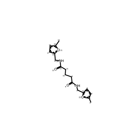 Cc1ccc(CNC(=O)CCCC(=O)NCc2ccc(C)o2)o1